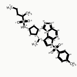 CCCC(C)S(=O)(=O)N[C@H]1C[C@@H](CC)[C@@H](c2nnc3cnc4c(ccn4S(=O)(=O)c4ccc(C)cc4)n23)C1